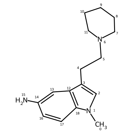 Cn1cc(CCN2CCCCC2)c2cc(N)ccc21